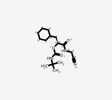 CC(C)(C)NC(=O)O[C@@H](CC1CCCCC1)C(=O)NCC#N